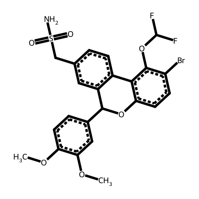 COc1ccc(C2Oc3ccc(Br)c(OC(F)F)c3-c3ccc(CS(N)(=O)=O)cc32)cc1OC